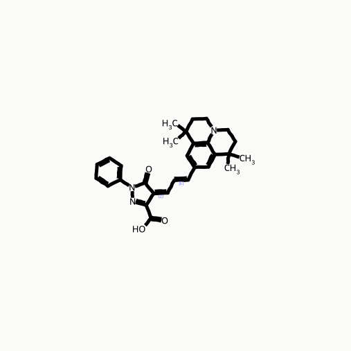 CC1(C)CCN2CCC(C)(C)c3cc(/C=C/C=C4\C(=O)N(c5ccccc5)N=C4C(=O)O)cc1c32